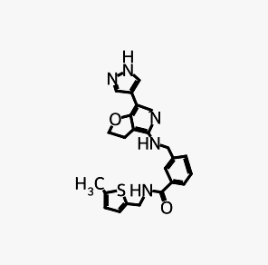 Cc1ccc(CNC(=O)c2cccc(CNc3ncc(-c4cn[nH]c4)c4c3CCO4)c2)s1